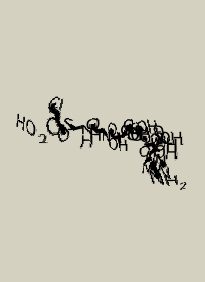 CC(C)(COP(=O)(O)OP(=O)(O)OC[C@H]1O[C@@H](n2cnc3c(N)ncnc32)[C@H](O)[C@@H]1OP(=O)(O)O)[C@@H](O)C(=O)NCCC(=O)NCCSC(=O)C(CCCl)C(=O)O